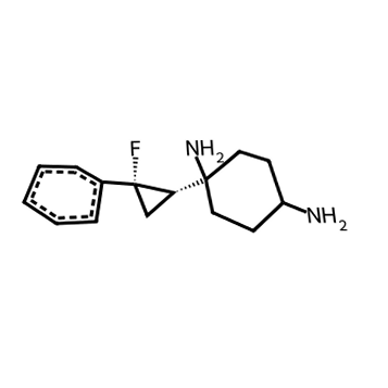 NC1CCC(N)([C@@H]2C[C@@]2(F)c2ccccc2)CC1